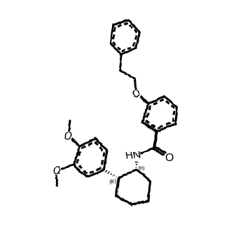 COc1ccc([C@H]2CCCC[C@H]2NC(=O)c2cccc(OCCc3ccccc3)c2)cc1OC